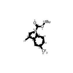 CC(C)(C)OC(=O)n1cc(I)c2cc(C(F)(F)F)ccc21